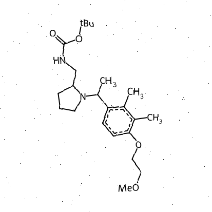 COCCOc1ccc(C(C)N2CCCC2CNC(=O)OC(C)(C)C)c(C)c1C